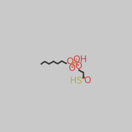 CCCCCCCOP(=O)(O)OCCC(=O)S